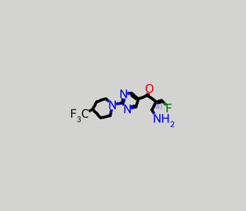 NC/C(=C\F)C(=O)c1cnc(N2CCC(C(F)(F)F)CC2)nc1